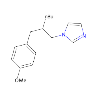 CCCCC(Cc1ccc(OC)cc1)Cn1ccnc1